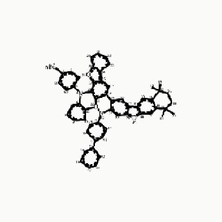 CCCCc1ccc(N2c3ccccc3B3c4c(cc5c(oc6ccccc65)c42)-c2cc4c(cc2N3c2ccc(-c3ccccc3)cc2)oc2cc3c(cc24)C(C)(C)CCC3(C)C)cc1